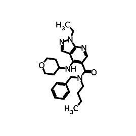 CCCCN(Cc1ccccc1)C(=O)c1cnc2c(cnn2CC)c1NC1CCOCC1